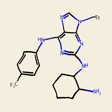 CCn1cnc2c(Nc3ccc(C(F)(F)F)cc3)nc(NC3CCCCC3N)nc21